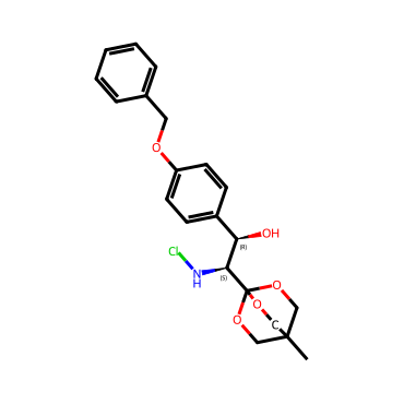 CC12COC([C@@H](NCl)[C@H](O)c3ccc(OCc4ccccc4)cc3)(OC1)OC2